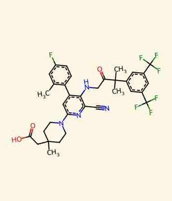 Cc1cc(F)ccc1-c1cc(N2CCC(C)(CC(=O)O)CC2)nc(C#N)c1NCC(=O)C(C)(C)c1cc(C(F)(F)F)cc(C(F)(F)F)c1